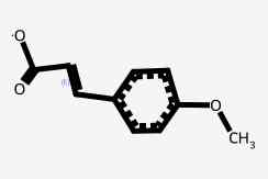 COc1ccc(/C=C/C([O])=O)cc1